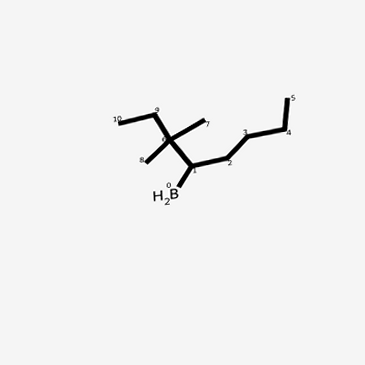 BC(CCCC)C(C)(C)CC